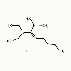 CCCC/[S+]=C(\N(C)C)N(CC)CC.[I-]